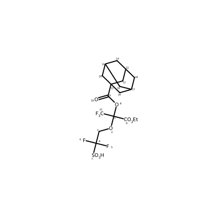 CCOC(=O)C(OCC(F)(F)S(=O)(=O)O)(OC(=O)C12CC3CC(CC(C3)C1)C2)C(F)(F)F